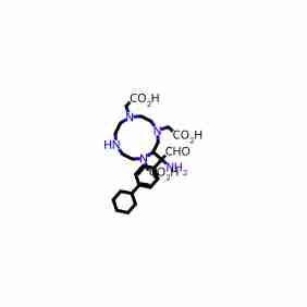 NC(C=O)(c1ccc(C2CCCCC2)cc1)C1CN(CC(=O)O)CCN(CC(=O)O)CCNCCN1CC(=O)O